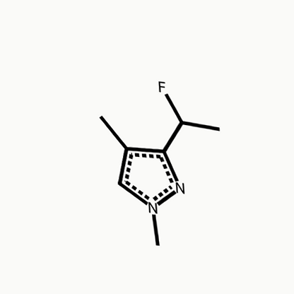 Cc1cn(C)nc1C(C)F